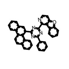 c1ccc(-c2nc(-c3nccc4oc5ccccc5c34)nc(-c3cc4ccccc4c4ccc5ccccc5c34)n2)cc1